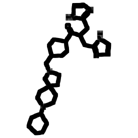 O=C(C1CCC(CN2CCC3(CCN(C4CCCCC4)CC3)C2)CC1)C(Cc1ncc[nH]1)Cc1ncc[nH]1